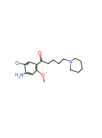 COc1cc(N)c(Cl)cc1C(=O)CCCCN1CCCCC1